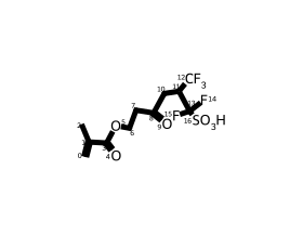 C=C(C)C(=O)OCCC(=O)CC(C(F)(F)F)C(F)(F)S(=O)(=O)O